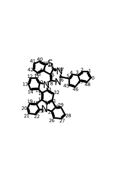 c1ccc2cc(-c3nc(-n4c5ccccc5c5c6c7ccccc7n7c8ccccc8c(cc54)c67)c4c(n3)sc3ccccc34)ccc2c1